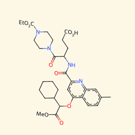 CCOC(=O)N1CCN(C(=O)C(CCC(=O)O)NC(=O)c2cc(OC(C(=O)OC)C3CCCCC3)c3ccc(C)cc3n2)CC1